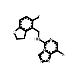 Fc1ccc2c(c1CNc1ncc(Br)c3nncn13)CCO2